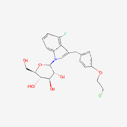 OC[C@H]1O[C@@H](n2cc(Cc3ccc(OCCCl)cc3)c3c(F)cccc32)[C@H](O)[C@@H](O)[C@@H]1O